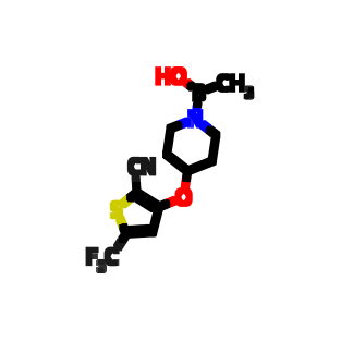 CB(O)N1CCC(Oc2cc(C(F)(F)F)sc2C#N)CC1